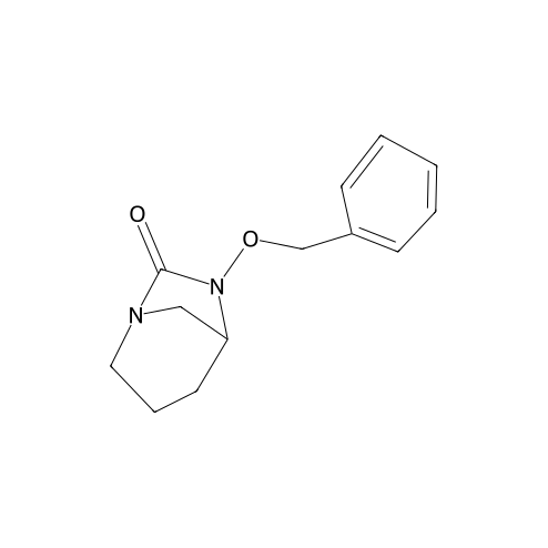 O=C1N2CCCC(C2)N1OCc1ccccc1